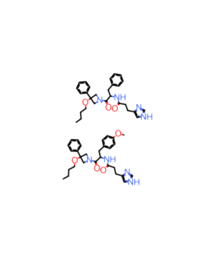 CCCCOC1(c2ccccc2)CN(C(=O)C(Cc2ccc(OC)cc2)NC(=O)CCc2c[nH]cn2)C1.CCCCOC1(c2ccccc2)CN(C(=O)C(Cc2ccccc2)NC(=O)CCc2c[nH]cn2)C1